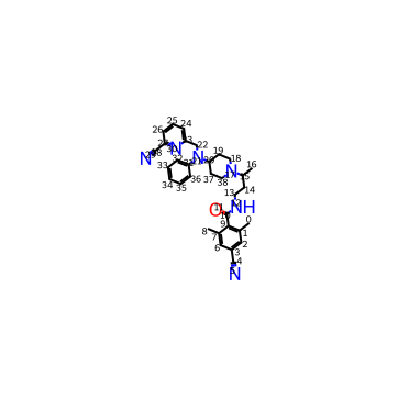 Cc1cc(C#N)cc(C)c1C(=O)NCCC(C)N1CCC(N(Cc2cccc(C#N)n2)c2ccccc2)CC1